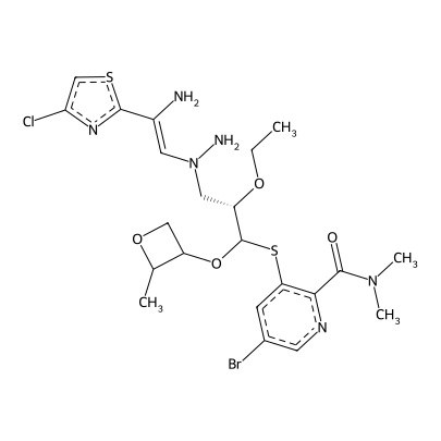 CCO[C@@H](CN(N)/C=C(\N)c1nc(Cl)cs1)C(OC1COC1C)Sc1cc(Br)cnc1C(=O)N(C)C